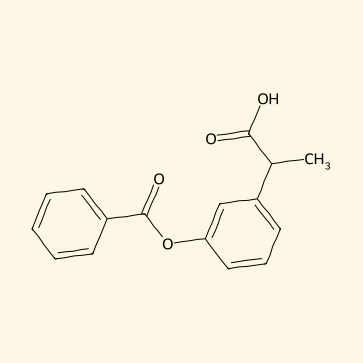 CC(C(=O)O)c1cccc(OC(=O)c2ccccc2)c1